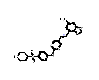 O=S(=O)(c1ccc(Nc2ncc(/C=C/c3cc(C(F)(F)F)cc4[nH]cnc34)cn2)cc1)C1CCNCC1